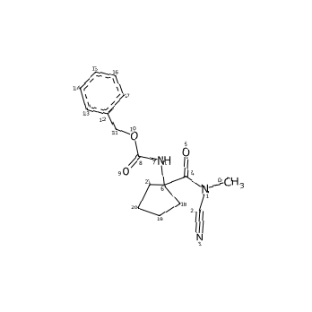 CN(C#N)C(=O)C1(NC(=O)OCc2ccccc2)CCCC1